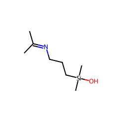 CC(C)=NCCC[Si](C)(C)O